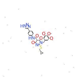 COc1cc(CN2C(=O)C(C(=O)Nc3ccc(-c4c[nH]nn4)cc3)C(=O)N=C2SCC2CC2)cc(OC)c1OC